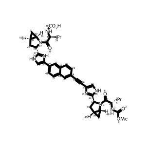 COC(=O)N[C@H](C(=O)N1[C@@H]2C[C@@H]2C[C@H]1c1nc(C#Cc2ccc3cc(-c4c[nH]c([C@@H]5C[C@H]6C[C@H]6N5C(=O)[C@@H](NC(=O)O)C(C)C)n4)ccc3c2)c[nH]1)C(C)C